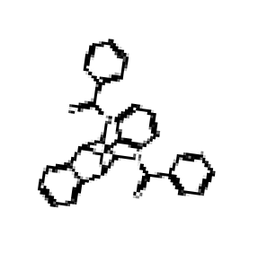 O=C(OC1C(OC(=O)c2ccccc2)C2c3ccccc3C1C2c1ccccc1)c1ccccc1